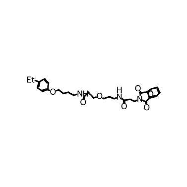 CCc1ccc(OCCCCNC(=O)CCOCCCNC(=O)CCN2C(=O)c3c(c4ccc3o4)C2=O)cc1